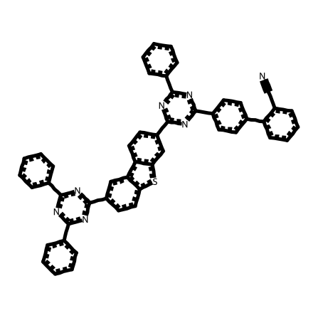 N#Cc1ccccc1-c1ccc(-c2nc(-c3ccccc3)nc(-c3ccc4c(c3)sc3ccc(-c5nc(-c6ccccc6)nc(-c6ccccc6)n5)cc34)n2)cc1